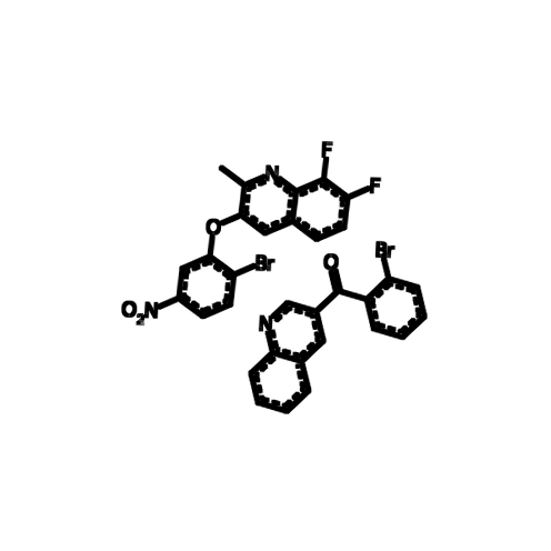 Cc1nc2c(F)c(F)ccc2cc1Oc1cc([N+](=O)[O-])ccc1Br.O=C(c1cnc2ccccc2c1)c1ccccc1Br